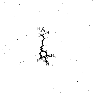 CNC(=O)CCNCc1cc(C)c(C#N)c(F)c1